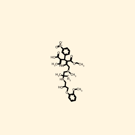 CCOC(=O)C1=C(CN(C)CC(C)(C)NCC(O)COc2ccccc2OC)NC(C)=C(C(=O)O)C1c1cccc([N+](=O)[O-])c1